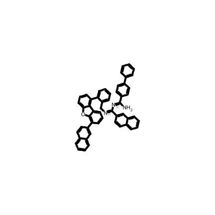 N/C(=N\C(=N/Cc1ccccc1-c1cccc2oc3c(-c4ccc5ccccc5c4)cccc3c12)c1ccc2ccccc2c1)c1ccc(-c2ccccc2)cc1